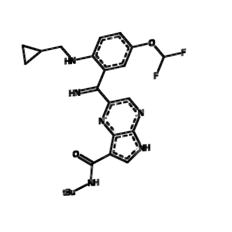 CC(C)(C)NC(=O)c1c[nH]c2ncc(C(=N)c3cc(OC(F)F)ccc3NCC3CC3)nc12